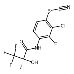 C[C@@](O)(C(=O)Nc1ccc(SC#N)c(Cl)c1F)C(F)(F)F